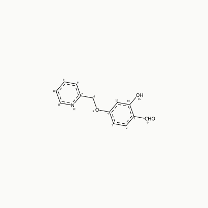 O=Cc1ccc(OCc2ccccn2)cc1O